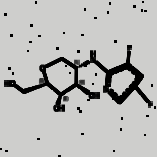 OC[C@H]1OC[C@H](Nc2ncc(F)cc2F)[C@@H](O)[C@H]1O